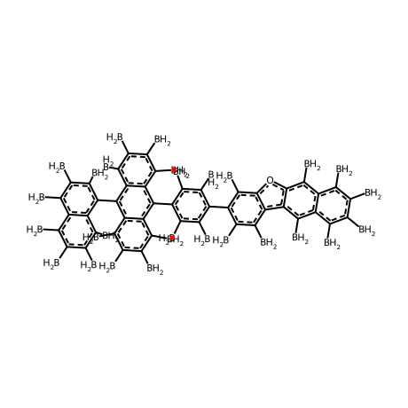 Bc1c(B)c(-c2c3c(B)c(B)c(B)c(B)c3c(-c3c(B)c(B)c(B)c4c(B)c(B)c(B)c(B)c34)c3c(B)c(B)c(B)c(B)c23)c(B)c(B)c1-c1c(B)c(B)c2c(oc3c(B)c4c(B)c(B)c(B)c(B)c4c(B)c32)c1B